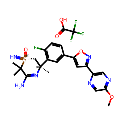 COc1cnc(-c2cc(-c3ccc(F)c([C@]4(C)C[S@](=N)(=O)C(C)(C)C(N)=N4)c3)on2)cn1.O=C(O)C(F)(F)F